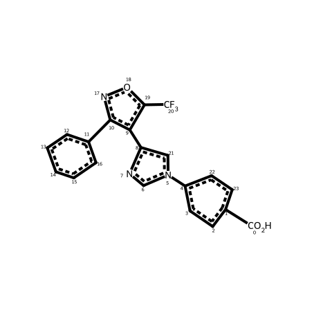 O=C(O)c1ccc(-n2cnc(-c3c(-c4ccccc4)noc3C(F)(F)F)c2)cc1